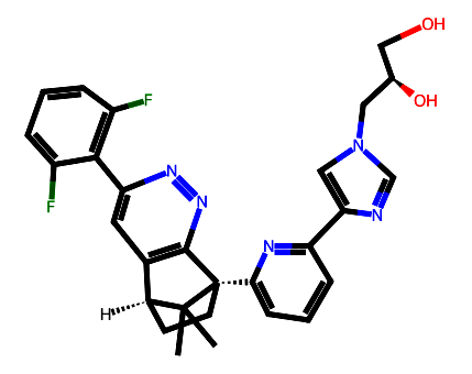 CC1(C)[C@H]2CC[C@]1(c1cccc(-c3cn(C[C@H](O)CO)cn3)n1)c1nnc(-c3c(F)cccc3F)cc12